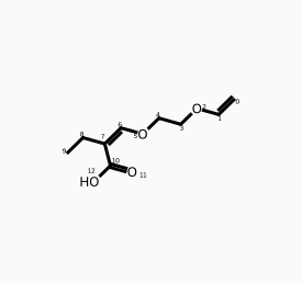 C=COCCOC=C(CC)C(=O)O